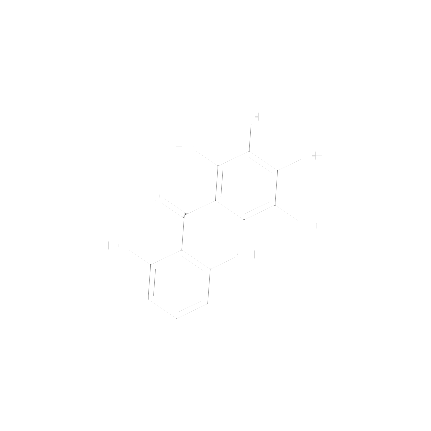 CCCc1cc(C(=O)c2c(O)cccc2O)c(O)c(O)c1O